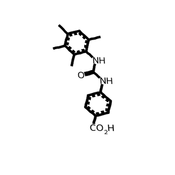 Cc1cc(C)c(NC(=O)Nc2ccc(C(=O)O)cc2)c(C)c1C